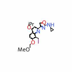 COCCOc1ccc2c(OC(C)C)cc(-c3coc(NC4CC4)n3)nc2c1CI